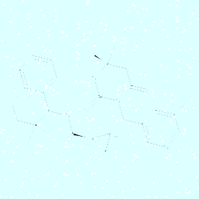 CC[C@@]1(C)CC(=O)N(C(c2cncc(F)c2)[C@@H]2C[C@H]2C(=O)NC2c3ccccc3OCC2(C)C)C(=N)N1